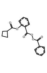 O=C(OOC(=O)c1ccccc1OC(=O)C1CCC1)c1ccccc1